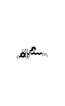 CCCCCCCN(Cc1ccco1)C(=O)Nc1c(Cl)cc(Cl)cc1Cl